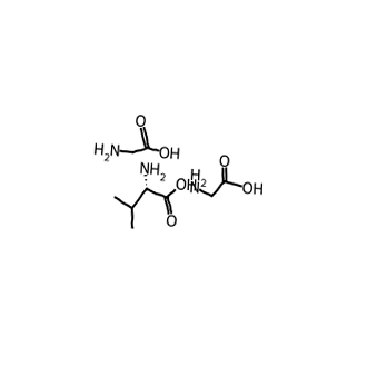 CC(C)[C@H](N)C(=O)O.NCC(=O)O.NCC(=O)O